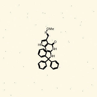 CON=Cc1c[nH]c2nc(NC(c3ccccc3)(c3ccccc3)c3ccccc3)[nH]c(=O)c12